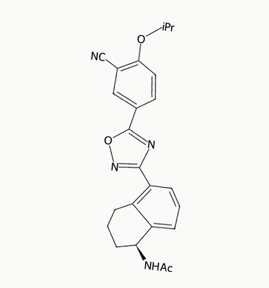 CC(=O)N[C@H]1CCCc2c(-c3noc(-c4ccc(OC(C)C)c(C#N)c4)n3)cccc21